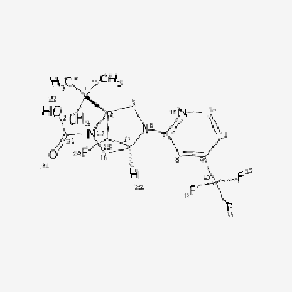 CC(C)(C)[C@]12CN(c3cc(C(F)(F)F)ccn3)[C@@H](CN1C(=O)O)C2F